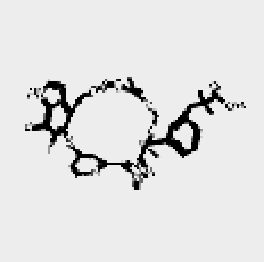 Cn1nc2nc1-c1cc(ccn1)Sc1c(F)c(F)c3[nH]ccc3c1CCSCC(C)(C)CCC[C@]2(C)c1cccc(CC(C)(C)C(=O)O)c1